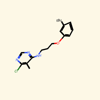 Cc1c(Cl)ncnc1NCCCOc1cccc(C(C)(C)C)c1